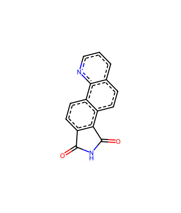 O=C1NC(=O)c2c1ccc1c2ccc2cccnc21